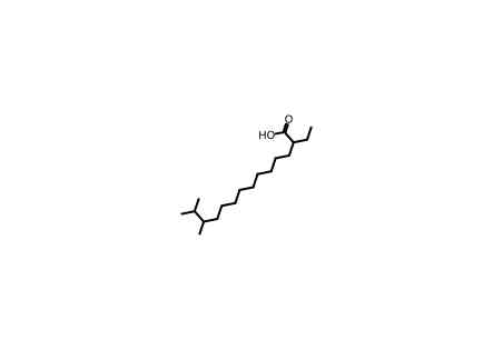 CCC(CCCCCCCCCC(C)C(C)C)C(=O)O